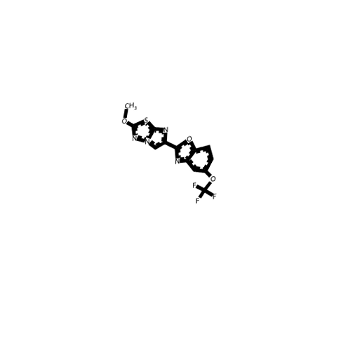 COc1nn2cc(-c3nc4cc(OC(F)(F)F)ccc4o3)nc2s1